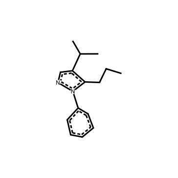 CCCc1c(C(C)C)cnn1-c1ccccc1